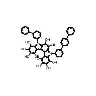 Oc1c(O)c(O)c2c(c1O)c1c3c4c(O)c(O)c(O)c(O)c4n(-c4cccc(-c5ccc(-c6ccccc6)cc5)c4)c3c(O)c(O)c1n2-c1cccc(-c2ccccc2)c1